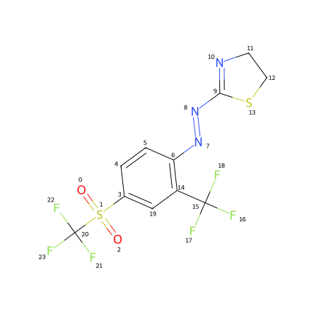 O=S(=O)(c1ccc(N=NC2=NCCS2)c(C(F)(F)F)c1)C(F)(F)F